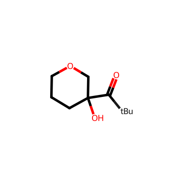 CC(C)(C)C(=O)C1(O)CCCOC1